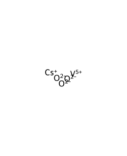 [Cs+].[O-2].[O-2].[O-2].[V+5]